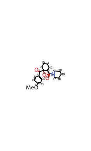 COc1ccc(C(=O)C2(O)CCCCC2C(=O)N2CCCCC2)cc1